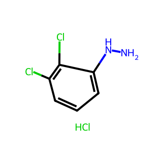 Cl.NNc1cccc(Cl)c1Cl